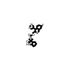 O=C(OCc1ncc2cc(F)ccc2c1-c1cncnc1)N1CC2(C1)C(=O)Nc1ccccc12